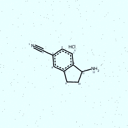 Cl.N#Cc1ccc2c(c1)CCC2N